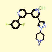 CN1CCC(n2cc(-c3cncc(-c4ccnc(-c5cc(F)ccc5F)c4)c3)cn2)CC1.Cl